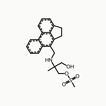 CC(CO)(COS(C)(=O)=O)NCc1c2c3c(cccc3c3ccccc13)CC2